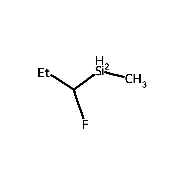 CCC(F)[SiH2]C